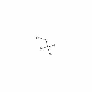 CC(C)CC(F)(F)C(C)(C)C